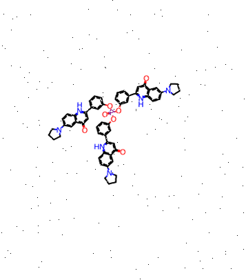 O=c1cc(-c2cccc(OP(=O)(Oc3cccc(-c4cc(=O)c5cc(N6CCCC6)ccc5[nH]4)c3)Oc3cccc(-c4cc(=O)c5cc(N6CCCC6)ccc5[nH]4)c3)c2)[nH]c2ccc(N3CCCC3)cc12